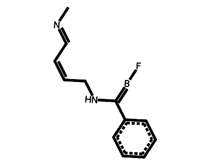 C/N=C/C=C\CNC(=BF)c1ccccc1